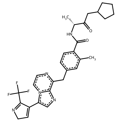 Cc1cc(Cc2nccn3c(C4=CCN=C4C(F)(F)F)cnc23)ccc1C(=O)N[C@H](C)C(=O)CC1CCCC1